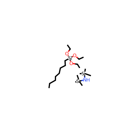 CCCCCCCC[Si](OCC)(OCC)OCC.C[Si](C)(C)N[Si](C)(C)C